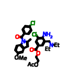 CCN(CC)Cc1cc(C(=O)OCCOC(C)=O)cc(Cl)c1N.COc1ccc2c(c1)cc(C)n2C(=O)c1ccc(Cl)cc1